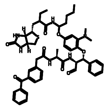 CCCCC(NC(=O)C(CC)C[C@@H]1SC[C@@H]2NC(=O)N[C@@H]21)Oc1ccc(O[C@H](c2ccccc2)[C@@H](C=O)NC(=O)[C@H](C)NC(=O)Cc2cccc(C(=O)c3ccccc3)c2)c(N(C)C)c1